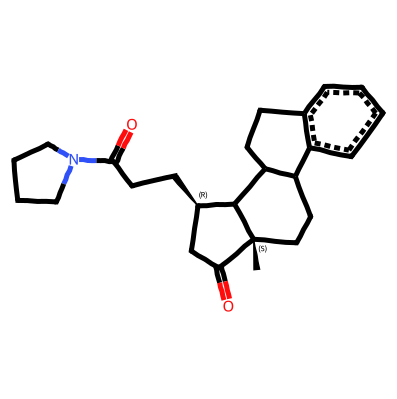 C[C@]12CCC3c4ccccc4CCC3C1[C@H](CCC(=O)N1CCCC1)CC2=O